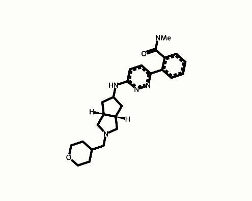 CNC(=O)c1ccccc1-c1ccc(NC2C[C@@H]3CN(CC4CCOCC4)C[C@@H]3C2)nn1